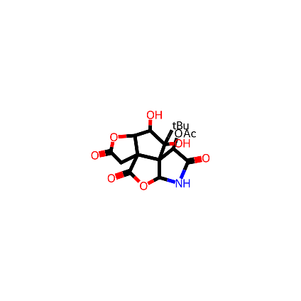 CC(=O)OC1C(=O)NC2OC(=O)C34CC(=O)OC3C(O)C(O)(C(C)(C)C)C214